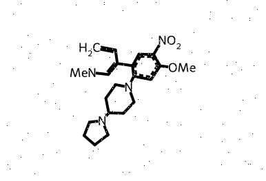 C=C/C(=C\NC)c1cc([N+](=O)[O-])c(OC)cc1N1CCC(N2CCCC2)CC1